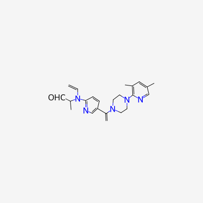 C=CN(c1ccc(C(=C)N2CCN(c3ncc(C)cc3C)CC2)cn1)C(C)C=O